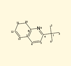 CC(C)(C)c1ccc2c(n1)CCC=C2